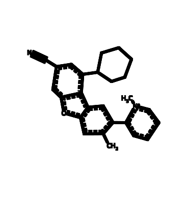 Cc1cc2oc3cc(C#N)cc(C4CCCCC4)c3c2cc1-c1cccc[n+]1C